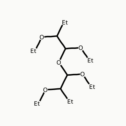 CCOC(CC)C(OCC)OC(OCC)C(CC)OCC